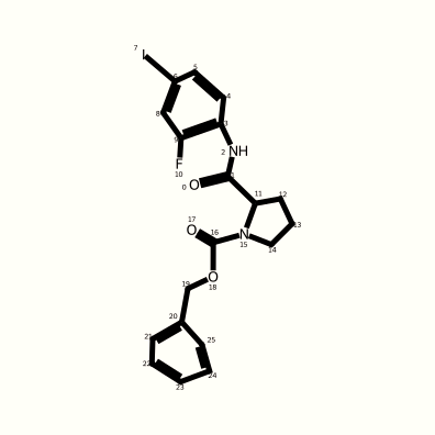 O=C(Nc1ccc(I)cc1F)C1CCCN1C(=O)OCc1ccccc1